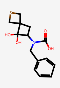 O=C(O)N(Cc1ccccc1)C1CC2(CSC2)C1(O)O